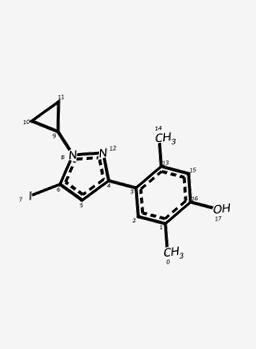 Cc1cc(-c2cc(I)n(C3CC3)n2)c(C)cc1O